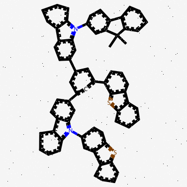 CC1(C)c2ccccc2-c2ccc(-n3c4ccccc4c4ccc(-c5cc(-c6ccc7c8ccccc8n(-c8ccc9sc%10ccccc%10c9c8)c7c6)cc(-c6cccc7c6sc6ccccc67)c5)cc43)cc21